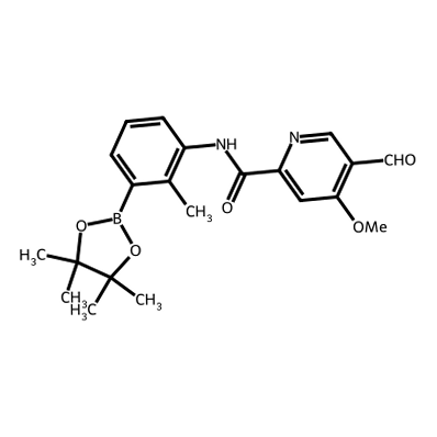 COc1cc(C(=O)Nc2cccc(B3OC(C)(C)C(C)(C)O3)c2C)ncc1C=O